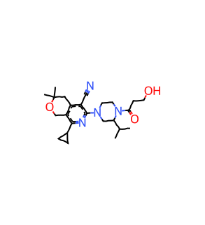 CC(C)C1CN(c2nc(C3CC3)c3c(c2C#N)CC(C)(C)OC3)CCN1C(=O)CCO